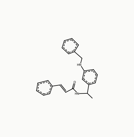 CC(NC(=O)C=Cc1ccccc1)c1cccc(NCc2ccccc2)c1